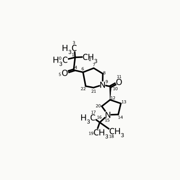 CC(C)(C)C(=O)C1CCN(C(=O)[C@H]2CCN(C(C)(C)C)C2)CC1